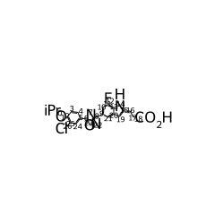 CC(C)Oc1ccc(-c2nc(-c3cc(F)c4[nH]c(CCC(=O)O)cc4c3)no2)cc1Cl